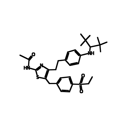 CCS(=O)(=O)c1ccc(Cc2sc(NC(C)=O)nc2CCc2ccc(NC(C(C)(C)C)C(C)(C)C)cc2)cc1